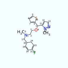 CN(CCOC(c1cccs1)c1ccnn1C)CC1C=CC(F)=CC1